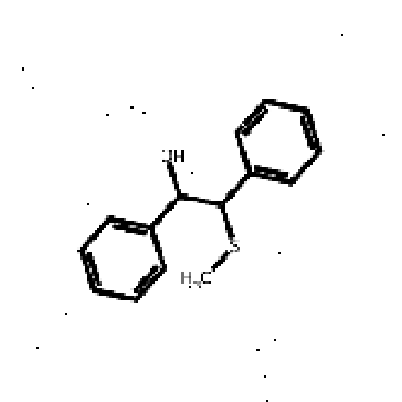 CSC(c1ccccc1)C(O)c1ccccc1